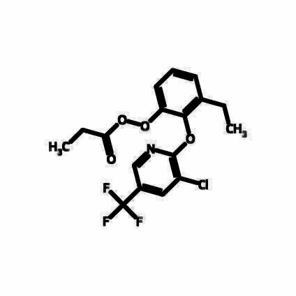 CCC(=O)OOc1cccc(CC)c1Oc1ncc(C(F)(F)F)cc1Cl